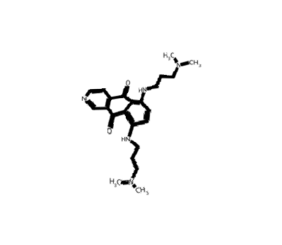 CN(C)CCCNc1ccc(NCCCN(C)C)c2c1C(=O)c1ccncc1C2=O